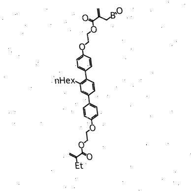 C=C(CC)C(=O)OCCOc1ccc(-c2ccc(-c3ccc(OCCOC(=O)C(=C)CB=O)cc3)c(CCCCCC)c2)cc1